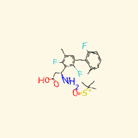 CC(C)(C)[S+]=O.Cc1cc(-c2c(C)cccc2F)c(F)c([C@@H](N)CC(=O)O)c1F